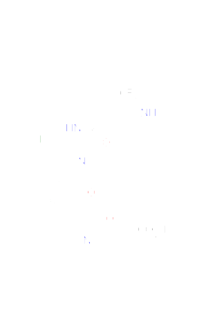 C/C(C(=O)Nc1nc(Oc2cccnc2OCC(=O)O)c(Cl)cc1F)=C(/C=N)C(F)(F)F